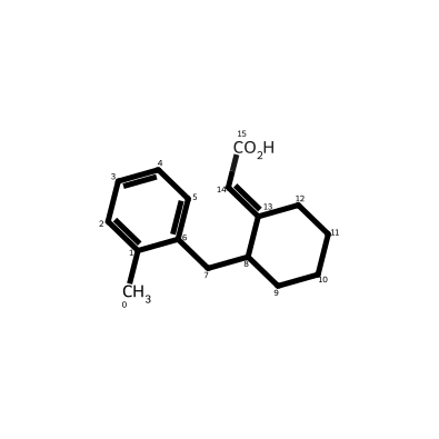 Cc1ccccc1CC1CCCC/C1=C\C(=O)O